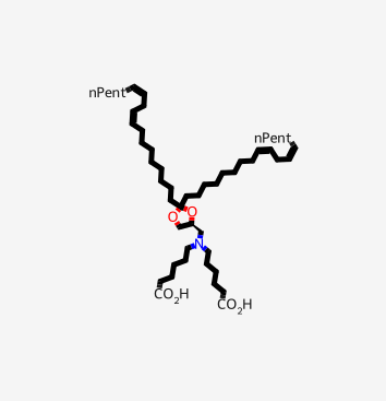 CCCCC/C=C\C/C=C\CCCCCCCCC1(CCCCCCCC/C=C\C/C=C\CCCCC)OC[C@H](CN(CCCCCC(=O)O)CCCCCC(=O)O)O1